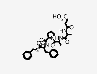 CC(NC(=O)CCC(=O)O)C(=O)NC(C)C(=O)N1CCCC1C(=O)NC(Cc1ccccc1)C(=O)SCc1ccccc1